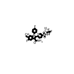 CCc1cc2c(cc1F)c(C(N)=O)c(-c1ccc(S(=O)(=O)NC(C)C(F)(F)F)cn1)n2-c1ccc(F)cc1